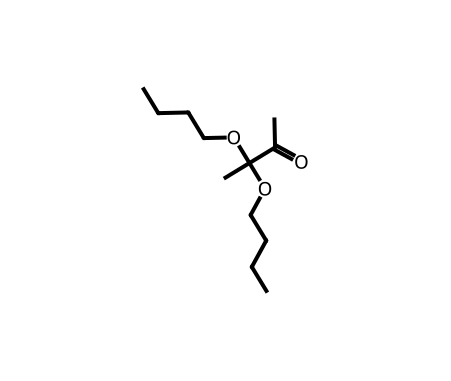 CCCCOC(C)(OCCCC)C(C)=O